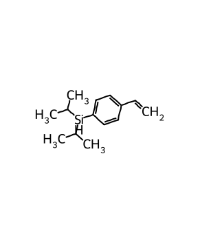 C=Cc1ccc([SiH](C(C)C)C(C)C)cc1